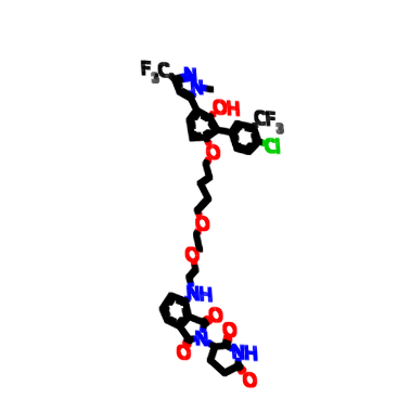 Cn1nc(C(F)(F)F)cc1-c1ccc(OCCCCCOCCOCCNc2cccc3c2C(=O)N(C2CCC(=O)NC2=O)C3=O)c(-c2ccc(Cl)c(C(F)(F)F)c2)c1O